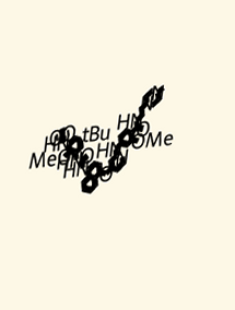 COc1cc(Nc2cc(Oc3ccc(NC(=O)Nc4cc(C(C)(C)C)cc(NS(C)(=O)=O)c4OC)c4ccccc34)ccn2)ccc1C(=O)NCCN1CCN(C)CC1